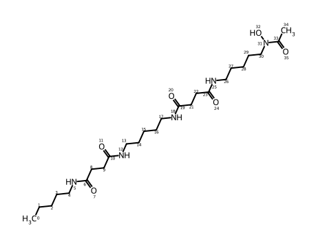 CCCCCNC(=O)CCC(=O)NCCCCCNC(=O)CCC(=O)NCCCCCN(O)C(C)=O